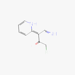 N=C/C(C(=O)CBr)=C1/C=CC=CN1